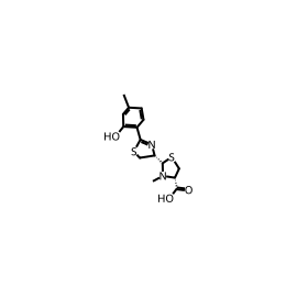 Cc1ccc(C2=N[C@H](C3SC[C@H](C(=O)O)N3C)CS2)c(O)c1